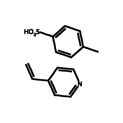 C=Cc1ccncc1.Cc1ccc(S(=O)(=O)O)cc1